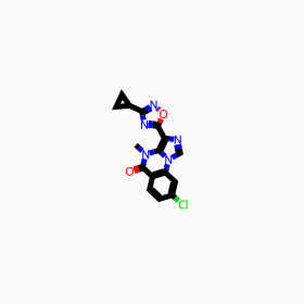 Cn1c(=O)c2ccc(Cl)cc2n2cnc(-c3nc(C4CC4)no3)c12